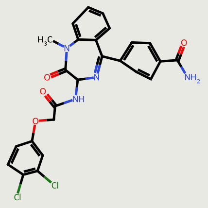 CN1C(=O)C(NC(=O)COc2ccc(Cl)c(Cl)c2)N=C(c2ccc(C(N)=O)cc2)c2ccccc21